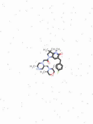 C[C@@H]1CN(CC(=O)N2CC(C)(C)c3c2cc(Cc2ccc(F)cc2)c(=O)n3C)[C@@H](CN2[C@H](C)COC[C@H]2C)CN1